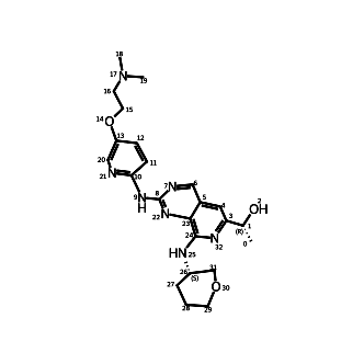 C[C@@H](O)c1cc2cnc(Nc3ccc(OCCN(C)C)cn3)nc2c(N[C@H]2CCCOC2)n1